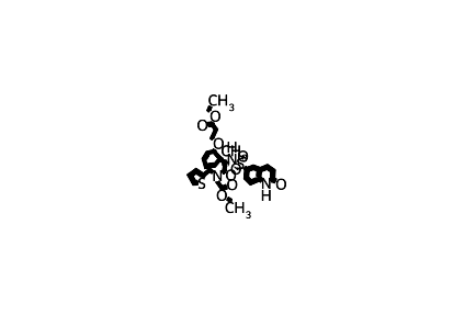 CCOC(=O)CCOC1C=CC=CC1(C)[C@@H](NS(=O)(=O)c1ccc2[nH]c(=O)ccc2c1)C(=O)N(CC(=O)OCC)Cc1cccs1